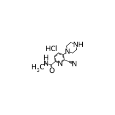 CNC(=O)c1ccc(N2CCNCC2)c(C#N)n1.Cl